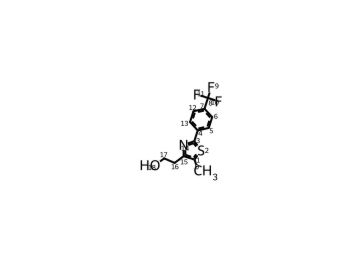 Cc1sc(-c2ccc(C(F)(F)F)cc2)nc1CCO